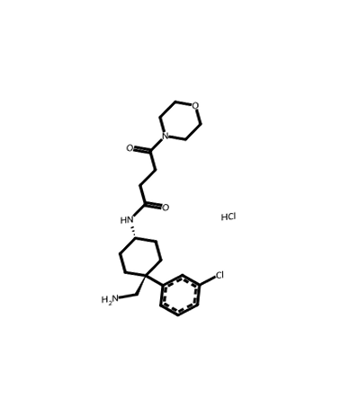 Cl.NC[C@]1(c2cccc(Cl)c2)CC[C@@H](NC(=O)CCC(=O)N2CCOCC2)CC1